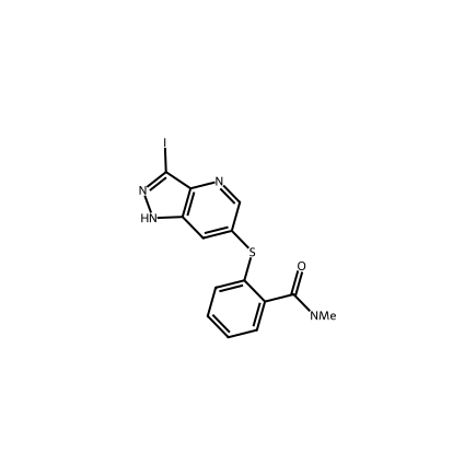 CNC(=O)c1ccccc1Sc1cnc2c(I)n[nH]c2c1